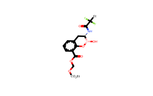 CCOC(=O)OCOC(=O)c1cccc2c1OB(O)[C@@H](NC(=O)C(F)(F)CC)C2